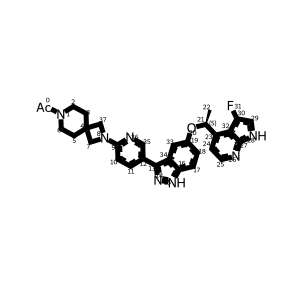 CC(=O)N1CCC2(CC1)CN(c1ccc(-c3n[nH]c4ccc(O[C@@H](C)c5ccnc6[nH]cc(F)c56)cc34)cn1)C2